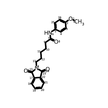 COc1ccc(NC(=O)CCCCCN2C(=O)c3ccccc3C2=O)cc1